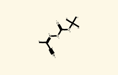 CC(C#N)=NOC(=O)OC(C)(C)C